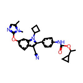 Cc1cnc(Oc2ccc3c(C#N)c(-c4ccc(NC(=O)OC(C)C5CC5)cc4)n(C4CCC4)c3c2)n1C